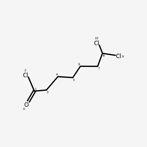 O=C(Cl)CCCCCC(Cl)Cl